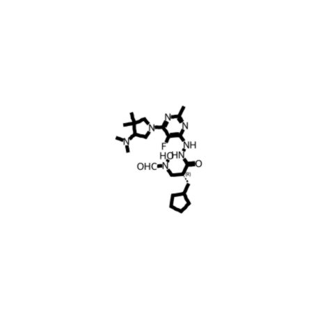 Cc1nc(NNC(=O)[C@H](CC2CCCC2)CN(O)C=O)c(F)c(N2CC(N(C)C)C(C)(C)C2)n1